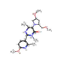 COCC1CC(OC)CN1c1c(C)nc(-c2ccc(OC)nc2C)n(C)c1=O